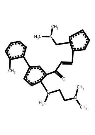 Cc1ccccc1-c1ccc(N(C)CCN(C)C)c(C(=O)C=Cc2ccccc2CN(C)C)c1